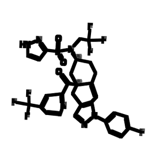 O=C(c1cc(C(F)(F)F)ccn1)[C@]12Cc3cnn(-c4ccc(F)cc4)c3C=C1CC[C@H](N(CC(F)(F)F)S(=O)(=O)c1cc[nH]n1)C2